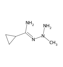 CN(N)/N=C(\N)C1CC1